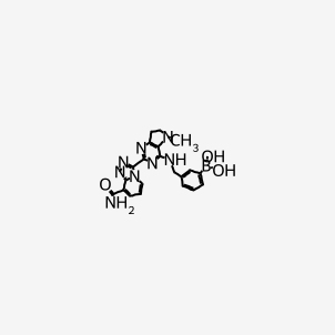 CN1CCc2nc(-c3nnc4c(C(N)=O)cccn34)nc(NCc3cccc(B(O)O)c3)c21